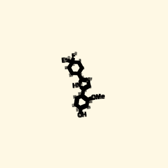 CCC1(F)CCC(c2ncc(-c3ccc(O)cc3OC)[nH]2)CC1